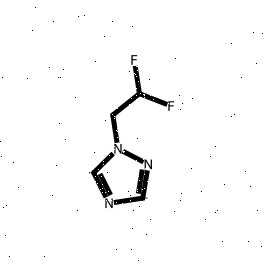 FC(F)Cn1[c]n[c]n1